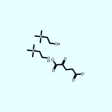 C[N+](C)(C)CCO.C[N+](C)(C)CCO.O=C([O-])CCC(=O)C(=O)[O-]